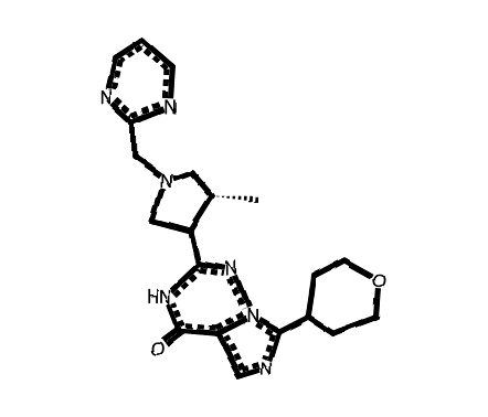 C[C@H]1CN(Cc2ncccn2)CC1c1nn2c(C3CCOCC3)ncc2c(=O)[nH]1